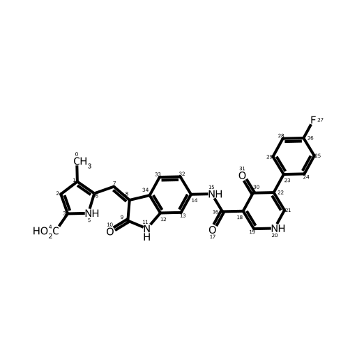 Cc1cc(C(=O)O)[nH]c1/C=C1\C(=O)Nc2cc(NC(=O)c3c[nH]cc(-c4ccc(F)cc4)c3=O)ccc21